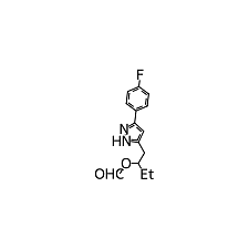 CCC(Cc1cc(-c2ccc(F)cc2)n[nH]1)OC=O